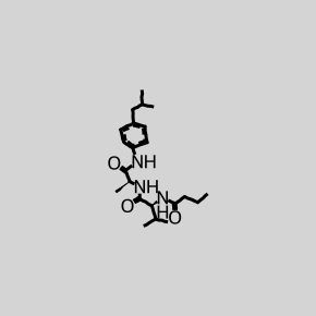 CCCC(=O)N[C@H](C(=O)N[C@@H](C)C(=O)Nc1ccc(CC(C)C)cc1)C(C)C